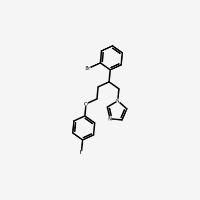 Fc1ccc(OCCC(Cn2ccnc2)c2ccccc2Br)cc1